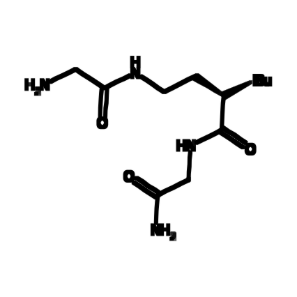 CC[C@H](C)[C@H](CCNC(=O)CN)C(=O)NCC(N)=O